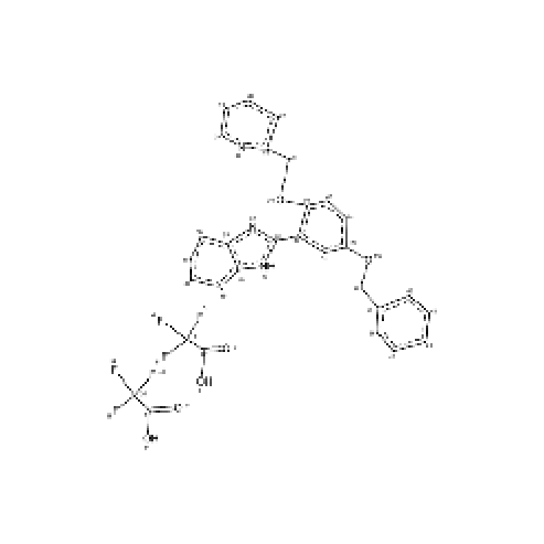 O=C(O)C(F)(F)F.O=C(O)C(F)(F)F.c1ccc(COc2ccc(OCc3ccccn3)c(-c3nc4cccnc4[nH]3)c2)cc1